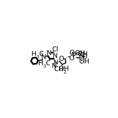 C=NN(c1nc(Cl)nc(N(C)Cc2ccccc2)c1C)[C@@H]1O[C@H](COP(=O)(O)CP(=O)(O)O)C[C@H]1O